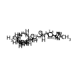 Cc1nnc(-c2ccc(CNC(=O)CCCC(=O)NC34CNCCNCC(C)(CNCCNC3)CNCCNC4)cc2)nn1